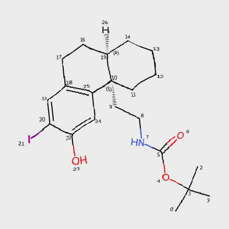 CC(C)(C)OC(=O)NCC[C@@]12CCCC[C@@H]1CCc1cc(I)c(O)cc12